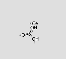 O=S(O)O.[Ce]